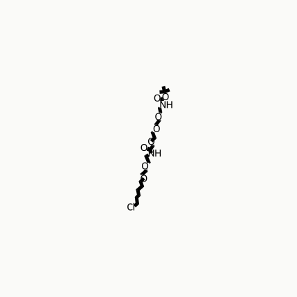 CC(C)(C)OC(=O)NCCOCCOCCOCC(=O)NCCOCCOCCCCCCCl